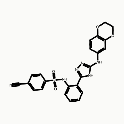 N#Cc1ccc(S(=O)(=O)Nc2ccccc2-c2nnc(Nc3ccc4c(c3)OCCO4)[nH]2)cc1